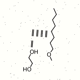 C=C.C=C.C=C.C=C.C=C.CCCCCCCCOC.OCCO